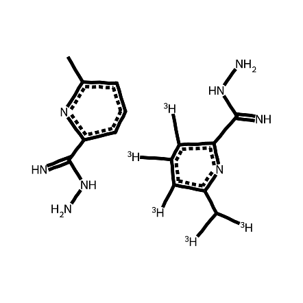 Cc1cccc(C(=N)NN)n1.[3H]c1c(C(=N)NN)nc(C([3H])[3H])c([3H])c1[3H]